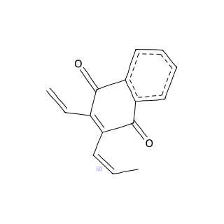 C=CC1=C(/C=C\C)C(=O)c2ccccc2C1=O